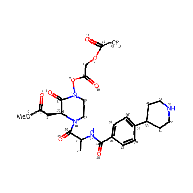 COC(=O)C[C@H]1C(=O)N(OC(=O)COC(=O)C(F)(F)F)CCN1C(=O)C(C)NC(=O)c1ccc(C2CCNCC2)cc1